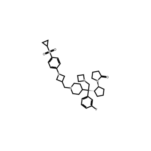 O=C1CCCN1[C@H]1CCC[C@@H]1C(CN1CCC1)(c1cccc(F)c1)C1CCN(CC2CN(c3ccc(S(=O)(=O)C4CC4)cc3)C2)CC1